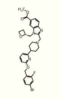 COC(=O)c1ccc2nc(CN3CCC(c4cccc(OCc5ccc(Br)cc5F)n4)CC3)n(C[C@@H]3CCO3)c2c1